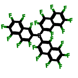 Fc1c(F)c(F)c2c(F)c(B(c3c(F)c(F)c4c(F)c(F)c(F)c(F)c4c3F)c3c(F)c(F)c4c(F)c(F)c(F)c(F)c4c3F)c(F)c(F)c2c1F